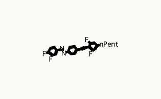 CCCCCc1cc(F)c(C#Cc2ccc(N=Nc3ccc(F)c(F)c3)cc2)c(F)c1